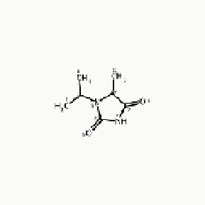 CC(C)N1C(=O)NC(=O)C1C